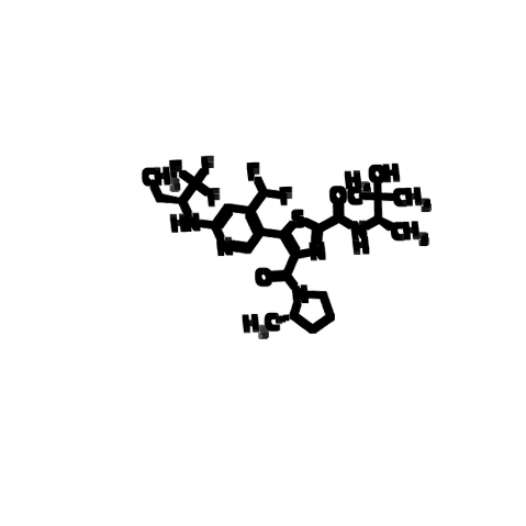 CC[C@H](Nc1cc(C(F)F)c(-c2sc(C(=O)N[C@H](C)C(C)(C)O)nc2C(=O)N2CCC[C@@H]2C)cn1)C(F)(F)F